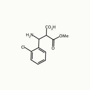 COC(=O)C(C(=O)O)C(N)c1ccccc1Cl